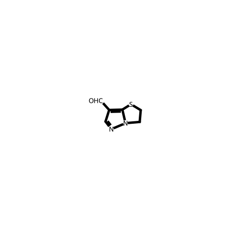 O=Cc1cnn2c1SCC2